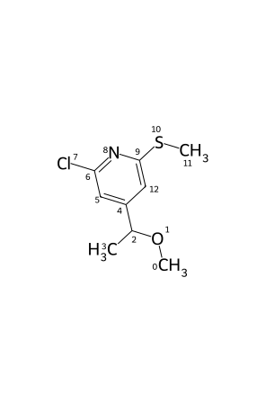 COC(C)c1cc(Cl)nc(SC)c1